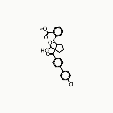 COC(=O)c1ccccc1SC1CCCC1(C(=O)O)C(=O)c1ccc(-c2ccc(Cl)cc2)cc1